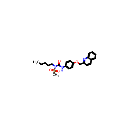 CCCCCN(C(=O)Nc1ccc(OCc2ccc3ccccc3n2)cc1)S(C)(=O)=O